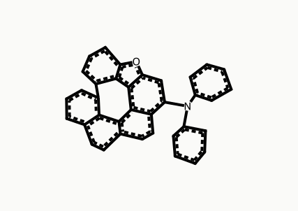 c1ccc(N(c2ccccc2)c2cc3oc4cccc5c4c3c3c2ccc2ccc4cccc-5c4c23)cc1